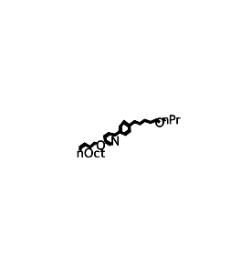 CCCCCCCC/C=C\CCOc1ccc(-c2ccc(CCCCCOCCC)cc2)nc1